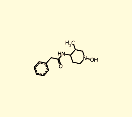 CC1CN(O)CCC1NC(=O)Cc1ccccc1